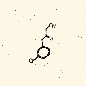 N#CCC(=O)Cc1cccc(Cl)c1